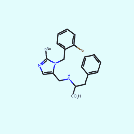 CCCCc1ncc(CNC(Cc2ccccc2)C(=O)O)n1Cc1ccccc1Br